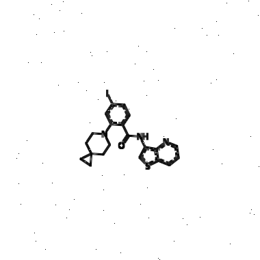 O=C(Nc1csc2cccnc12)c1ccc(I)cc1N1CCC2(CC1)CC2